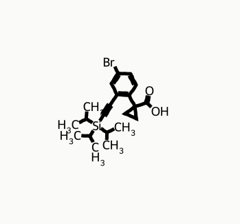 CC(C)[Si](C#Cc1cc(Br)ccc1C1(C(=O)O)CC1)(C(C)C)C(C)C